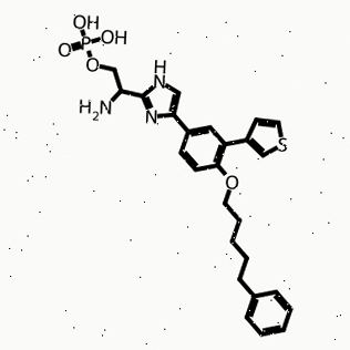 NC(COP(=O)(O)O)c1nc(-c2ccc(OCCCCCc3ccccc3)c(-c3ccsc3)c2)c[nH]1